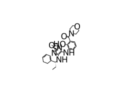 CC[C@@H](Nc1n[s+]([O-])nc1Nc1cccc(C(=O)N2CCOCC2)c1O)C1=CC=CCC1